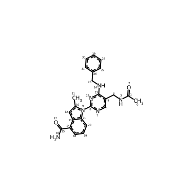 CC(=O)NCc1cnc(-n2c(C)cc3c(C(N)=O)cccc32)nc1NCc1ccccc1